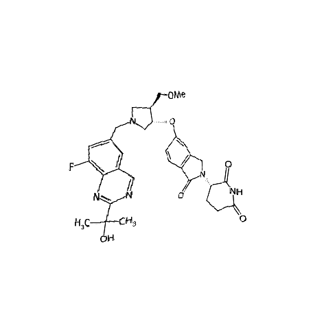 COC[C@@H]1CN(Cc2cc(F)c3nc(C(C)(C)O)ncc3c2)C[C@H]1Oc1ccc2c(c1)CN([C@H]1CCC(=O)NC1=O)C2=O